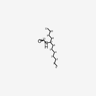 CCCCCCCC(CCCC)NC=O